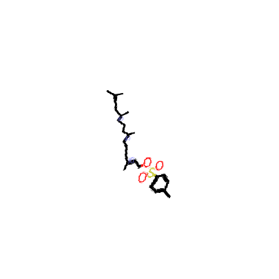 CC(C)=CCC/C(C)=C/CC/C(C)=C/CC/C(C)=C/COS(=O)(=O)c1ccc(C)cc1